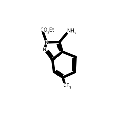 CCOC(=O)n1nc2cc(C(F)(F)F)ccc2c1N